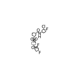 O=C(Nc1ccc(F)c(Cl)c1)c1cccc(S(=O)(=O)N2CCC(O)(c3ccc(F)cc3F)CC2)c1